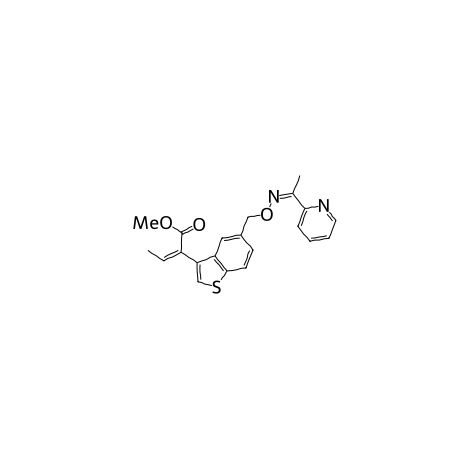 CC=C(C(=O)OC)c1csc2ccc(CON=C(C)c3ccccn3)cc12